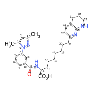 Cc1cc(C)n(-c2cccc(C(=O)N[C@@H](CCCCCCCc3ccc4c(n3)NCCC4)C(=O)O)c2)n1